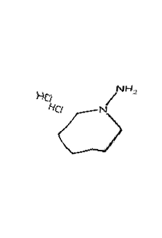 Cl.Cl.NN1CCCCC1